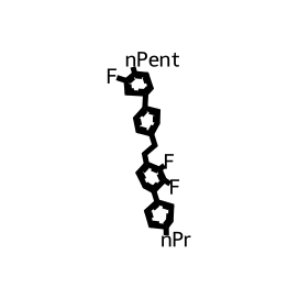 CCCCCc1ccc(-c2ccc(CCc3ccc(-c4ccc(CCC)cc4)c(F)c3F)cc2)cc1F